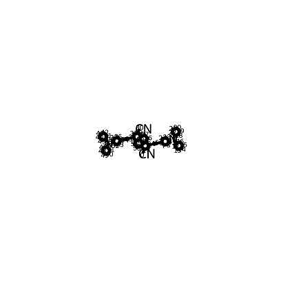 N#Cc1cc(C#Cc2ccc(N(c3ccccc3)c3ccccc3)cc2)c2ccc3c(C#N)cc(C#Cc4ccc(N(c5ccccc5)c5ccccc5)cc4)c4ccc1c2c34